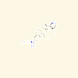 CC(=O)ONC1C=C2CCC3C(CC[C@]4(C)C(c5cccnc5)=CCC34)C2(C)CC1